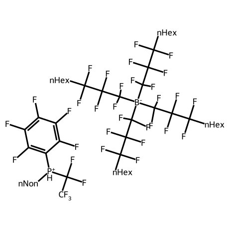 CCCCCCC(F)(F)C(F)(F)C(F)(F)[B-](C(F)(F)C(F)(F)C(F)(F)CCCCCC)(C(F)(F)C(F)(F)C(F)(F)CCCCCC)C(F)(F)C(F)(F)C(F)(F)CCCCCC.CCCCCCCCC[PH+](c1c(F)c(F)c(F)c(F)c1F)C(F)(F)C(F)(F)F